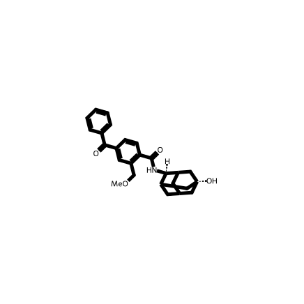 COCc1cc(C(=O)c2ccccc2)ccc1C(=O)N[C@H]1C2CC3CC1C[C@](O)(C3)C2